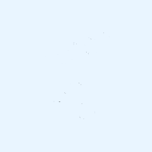 Cc1cc(Nc2nccc(C(F)(F)F)n2)cc(-c2cnc([C@]3(O)CC(C)(C)[C@@H](C(=O)O)C[C@H]3O)s2)c1